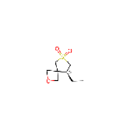 CC[C@@H]1CS(=O)(=O)CC12COC2